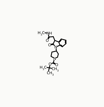 CNC(=O)CC1C(=O)N(C2CCN(C(=O)OC(C)(C)C)CC2)c2ccccc21